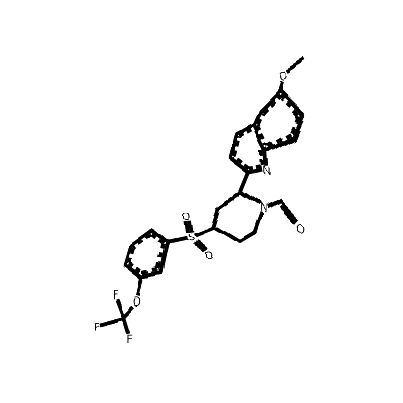 COc1ccc2nc(C3CC(S(=O)(=O)c4cccc(OC(F)(F)F)c4)CCN3C=O)ccc2c1